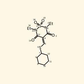 CCN1C(=O)C(=CSC2CCCCC2)C(=O)N(CC)S1(=O)=O